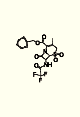 CC1=C(C(=O)OCc2ccccc2)N2C(=O)C(NC(=O)C(F)(F)F)C2S(=O)(=O)C1